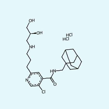 Cl.Cl.O=C(NCC12CC3CC(CC(C3)C1)C2)c1cc(CCCNC[C@H](O)CO)ncc1Cl